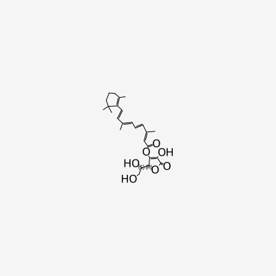 CC(C=CC1=C(C)CCCC1(C)C)=CC=CC(C)=CC(=O)OC1=C(O)C(=O)O[C@@H]1[C@@H](O)CO